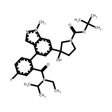 CCN(C(=O)c1cc(F)ccc1-c1cc(C2(O)CCN(C(=O)OC(C)(C)C)C2)cc2c1cnn2C)C(C)C